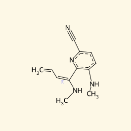 C=C/C=C(/NC)c1nc(C#N)ccc1NC